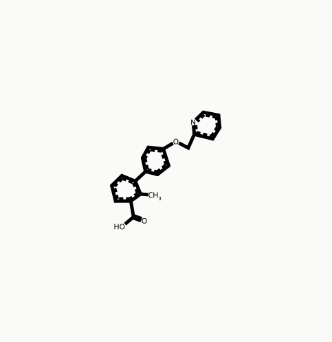 Cc1c(C(=O)O)cccc1-c1ccc(OCc2ccccn2)cc1